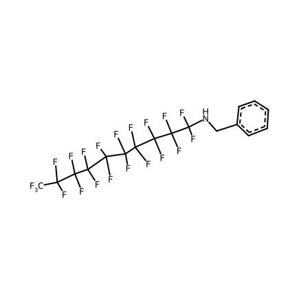 FC(F)(F)C(F)(F)C(F)(F)C(F)(F)C(F)(F)C(F)(F)C(F)(F)C(F)(F)C(F)(F)C(F)(F)NCc1ccccc1